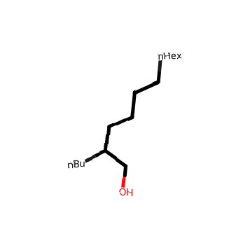 CCCCCCCCCCC(CO)CCCC